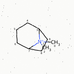 C[N+]1(C)C2C[CH]CC1CC2